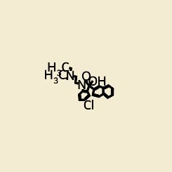 CCN(CC)CCN1C(=O)C(O)(c2ccc3ccccc3c2)c2cc(Cl)ccc21